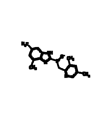 Cc1cnc(C[S+]([O-])c2nc3c(C)cc(C)cc3[nH]2)c(C)c1